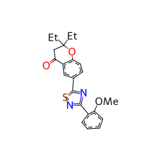 CCC1(CC)CC(=O)c2cc(-c3nc(-c4ccccc4OC)ns3)ccc2O1